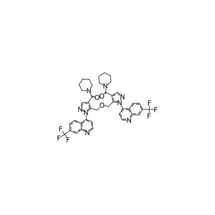 O=C(c1cnn(-c2ccnc3cc(C(F)(F)F)ccc23)c1COCc1c(C(=O)N2CCCCC2)cnn1-c1ccnc2cc(C(F)(F)F)ccc12)N1CCCCC1